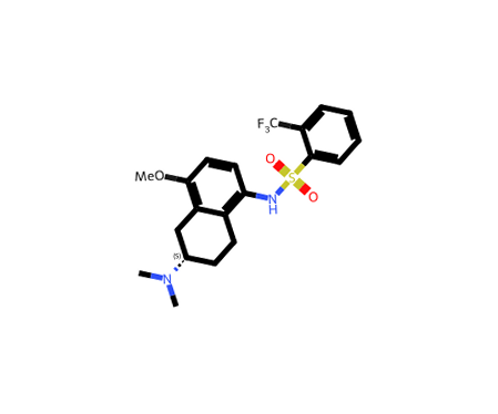 COc1ccc(NS(=O)(=O)c2ccccc2C(F)(F)F)c2c1C[C@@H](N(C)C)CC2